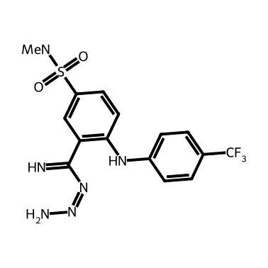 CNS(=O)(=O)c1ccc(Nc2ccc(C(F)(F)F)cc2)c(C(=N)/N=N\N)c1